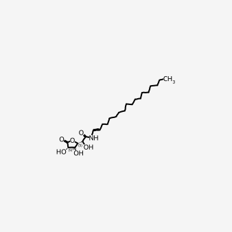 CCCCCCCCCCCCCCCCC=CNC(=O)C(O)[C@H]1OC(=O)[C@@H](O)[C@H]1O